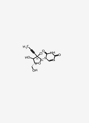 CC#C[C@@]1(Cl)C(O)[C@@H](CO)O[C@H]1n1cnc(=O)[nH]c1=O